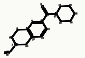 CCCN1CCc2cc(C(=O)N3CCCCC3)ccc2C1